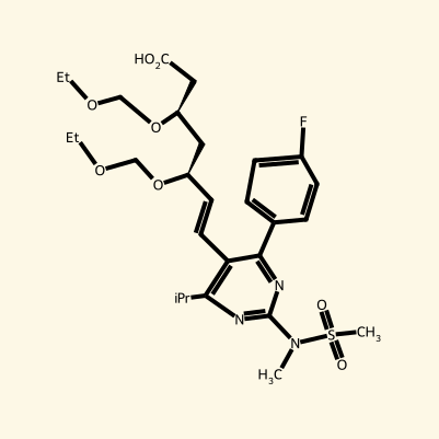 CCOCO[C@@H](CC(=O)O)C[C@@H](/C=C/c1c(-c2ccc(F)cc2)nc(N(C)S(C)(=O)=O)nc1C(C)C)OCOCC